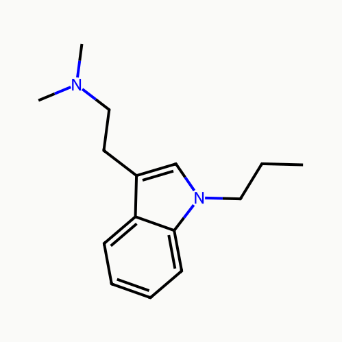 CCCn1cc(CCN(C)C)c2ccccc21